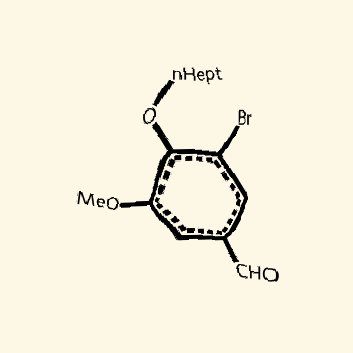 CCCCCCCOc1c(Br)cc(C=O)cc1OC